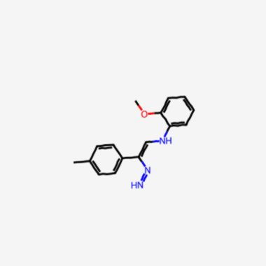 COc1ccccc1N/C=C(\N=N)c1ccc(C)cc1